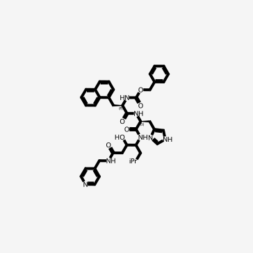 CC(C)CC(NC(=O)[C@H](Cc1c[nH]cn1)NC(=O)[C@@H](Cc1cccc2ccccc12)NC(=O)OCc1ccccc1)C(O)CC(=O)NCc1ccncc1